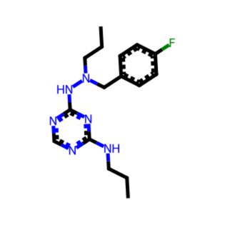 CCCNc1ncnc(NN(CCC)Cc2ccc(F)cc2)n1